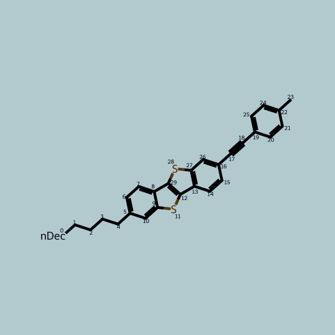 CCCCCCCCCCCCCCc1ccc2c(c1)sc1c3ccc(C#Cc4ccc(C)cc4)cc3sc21